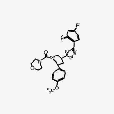 O=C(N1CCOCC1)N1CC(c2ccc(OC(F)(F)F)cc2)CC(c2nc(-c3ccc(F)cc3F)no2)C1